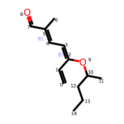 C=C/C(=C\C=C(/C)C=O)OC(C)CCC